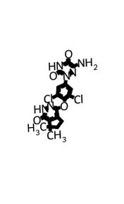 CC1(C)CCc2c(Oc3c(Cl)cc(-n4nc(N)c(=O)[nH]c4=O)cc3Cl)n[nH]c(=O)c21